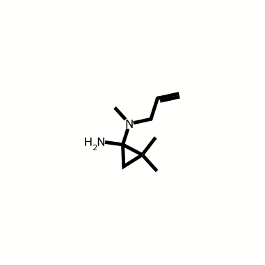 C=CCN(C)C1(N)CC1(C)C